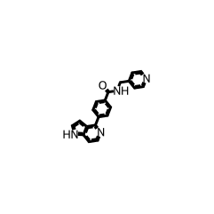 O=C(NCc1ccncc1)c1ccc(-c2nccc3[nH]ccc23)cc1